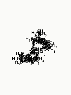 C=C1C[C@@H](CO[Si](C)(C)C(C)(C)C)N(C(=O)c2cc(OC)c(OCCCCCOc3cc(NC(=O)OCc4ccc(O[C@@H]5O[C@H](C(=O)OC)[C@@H](OC(C)=O)[C@H](OC(C)=O)[C@H]5OC(C)=O)c(C(=O)NCCOC)c4)c(C(=O)N4CC(=C)C[C@H]4CO[Si](C)(C)C(C)(C)C)cc3OC)cc2NC(=O)OCc2ccc(O[C@@H]3O[C@H](C(=O)OC)[C@@H](OC(C)=O)[C@H](OC(C)=O)[C@H]3OC(C)=O)c(C(=O)O)c2)C1